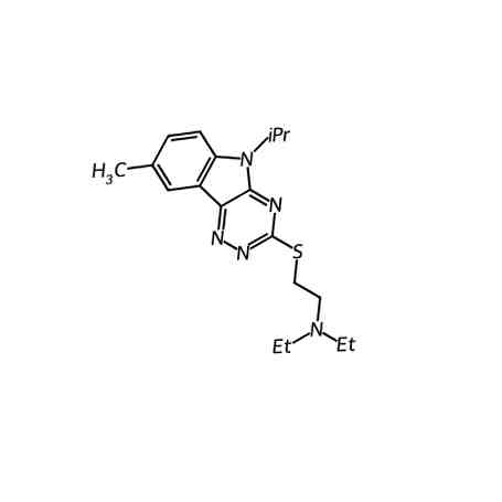 CCN(CC)CCSc1nnc2c3cc(C)ccc3n(C(C)C)c2n1